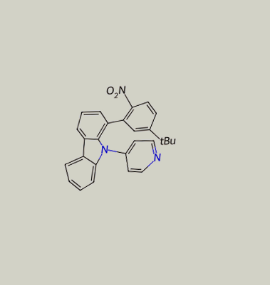 CC(C)(C)c1ccc([N+](=O)[O-])c(-c2cccc3c4ccccc4n(-c4ccncc4)c23)c1